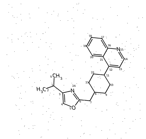 CC(C)c1coc(CC2CCC(c3ccnc4ccccc34)CC2)n1